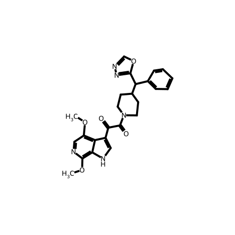 COc1ncc(OC)c2c(C(=O)C(=O)N3CCC(C(c4ccccc4)c4nnco4)CC3)c[nH]c12